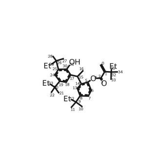 C=C(C(=O)Oc1ccc(C(C)(C)CC)cc1C(C)c1cc(C(C)(C)CC)cc(C(C)(C)CC)c1O)C(C)(C)CC